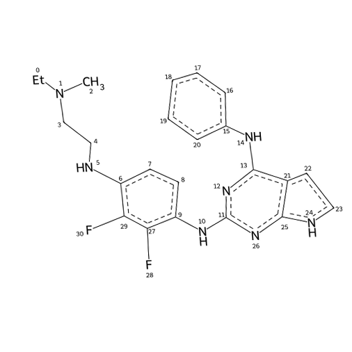 CCN(C)CCNc1ccc(Nc2nc(Nc3ccccc3)c3cc[nH]c3n2)c(F)c1F